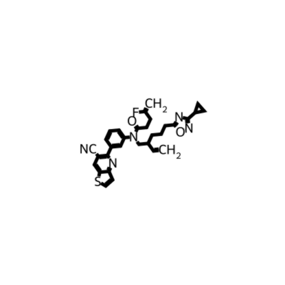 C=CC(CCCc1nc(C2CC2)no1)CN(C(=O)CCC(=C)F)c1cccc(-c2nc3ccsc3cc2C#N)c1